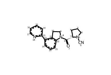 N#CN1CCC[C@H]1C(=O)N1CCc2c(-c3ccccn3)cccc21